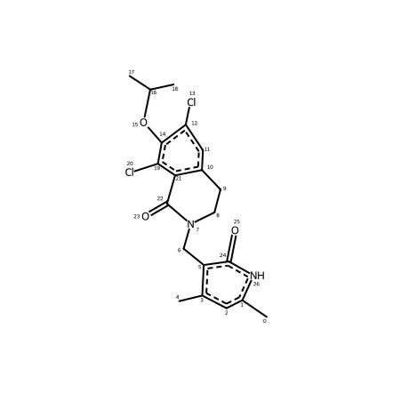 Cc1cc(C)c(CN2CCc3cc(Cl)c(OC(C)C)c(Cl)c3C2=O)c(=O)[nH]1